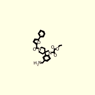 CCOC(=O)C(=O)N1CC2(CCN(C(=O)c3ccc(-c4ccccc4)o3)CC2)c2cc(CN)ccc21